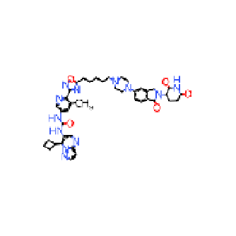 Cc1cc(NC(=O)Nc2cnc3ccnn3c2C2CCC2)cnc1-c1noc(CCCCCN2CCN(c3ccc4c(c3)CN(C3CCC(=O)NC3=O)C4=O)CC2)n1